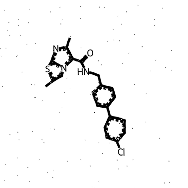 Cc1cn2c(C(=O)NCc3ccc(-c4ccc(Cl)cc4)cc3)c(C)nc2s1